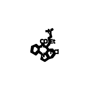 CCOC(=O)N1c2ccccc2N2CCc3cccc(c32)C1CCCN(C)C.Cl